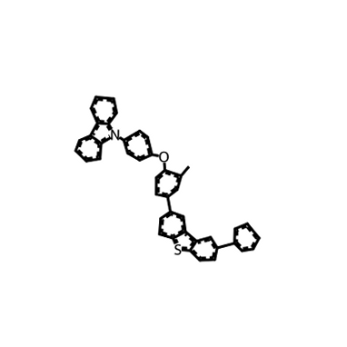 Cc1cc(-c2ccc3sc4ccc(-c5ccccc5)cc4c3c2)ccc1Oc1ccc(-n2c3ccccc3c3ccccc32)cc1